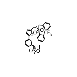 CS(=O)(=O)Nc1cccc(-c2ccc(CN(Cc3ccccc3)S(=O)(=O)c3ccccc3C(F)(F)F)s2)c1